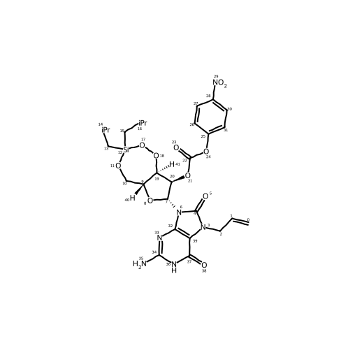 C=CCn1c(=O)n([C@@H]2O[C@@H]3CO[Si](CC(C)C)(CC(C)C)OO[C@H]3[C@H]2OC(=O)Oc2ccc([N+](=O)[O-])cc2)c2nc(N)[nH]c(=O)c21